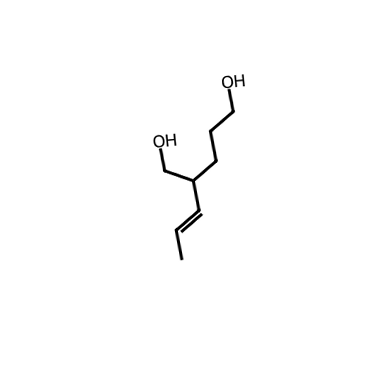 CC=CC(CO)CCCO